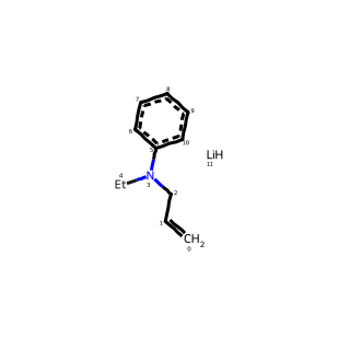 C=CCN(CC)c1ccccc1.[LiH]